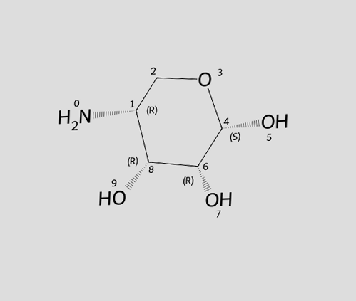 N[C@@H]1CO[C@H](O)[C@H](O)[C@@H]1O